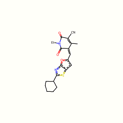 CCN1C(=O)C(C#N)=C(C)/C(=C/c2cc3sc(C4CCCCC4)nc3o2)C1=O